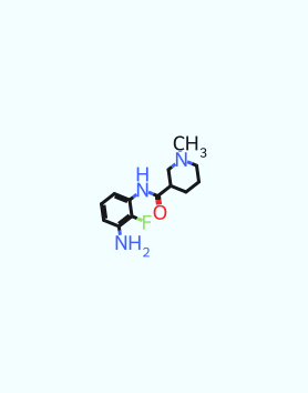 CN1CCCC(C(=O)Nc2cccc(N)c2F)C1